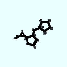 IOC1CCCC1CN1CCCC1